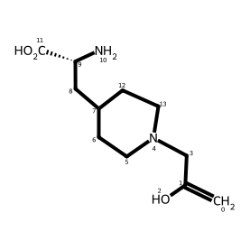 C=C(O)CN1CCC(C[C@@H](N)C(=O)O)CC1